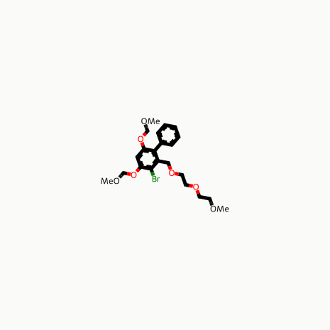 COCCOCCOCc1c(Br)c(OCOC)cc(OCOC)c1-c1ccccc1